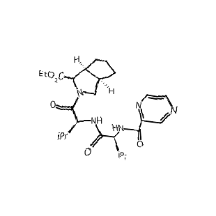 CCOC(=O)C1[C@H]2CCC[C@H]2CN1C(=O)[C@@H](NC(=O)[C@@H](NC(=O)c1cnccn1)C(C)C)C(C)C